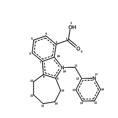 O=C(O)c1cccc2c3c(n(Cc4ccccn4)c12)CCCCC3